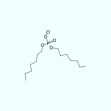 CCCCCCCOP(=O)(OCl)OCCCCCCC